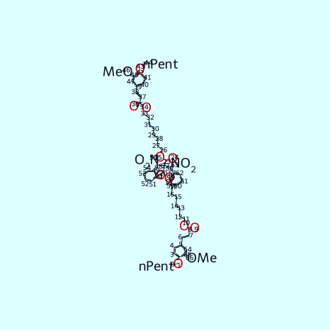 CCCCCOc1ccc(C=CC(=O)OCCCCCCCCOC(=O)C(C(=O)OCCCCCCCCOC(=O)C=Cc2ccc(OCCCCC)c(OC)c2)(C(c2ccccc2)[N+](=O)[O-])C(c2ccccc2)[N+](=O)[O-])cc1OC